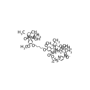 C=C1C[C@@H](CC)N(C(=O)c2cc(OC)c(OCCCCCOc3cc(NC(=O)OCC4(SSc5ccc([N+](=O)[O-])cn5)CC4)c(C(=O)N4CC(=C)C[C@H]4CO[Si](C)(C)C(C)(C)C)cc3OC)cc2NB(C)O)C1